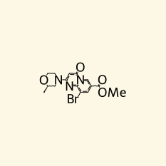 COC(=O)c1cc(Br)c2nc(N3CCO[C@H](C)C3)cc(=O)n2c1